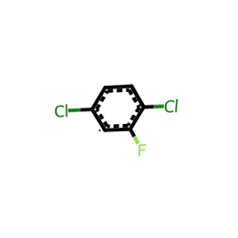 Fc1[c]c(Cl)ccc1Cl